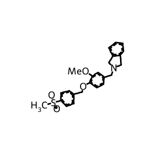 COc1cc(CN2Cc3ccccc3C2)ccc1OCc1ccc(S(C)(=O)=O)cc1